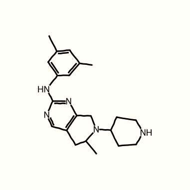 Cc1cc(C)cc(Nc2ncc3c(n2)CN(C2CCNCC2)C(C)C3)c1